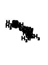 CC(C)S(=O)(=O)NCCOc1ccc(C2=CCCC2NS(=O)(=O)C(C)C)cc1